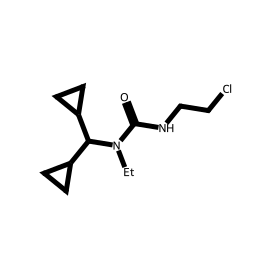 CCN(C(=O)NCCCl)C(C1CC1)C1CC1